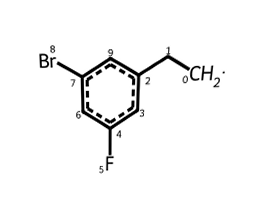 [CH2]Cc1cc(F)cc(Br)c1